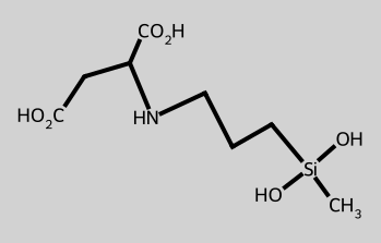 C[Si](O)(O)CCCNC(CC(=O)O)C(=O)O